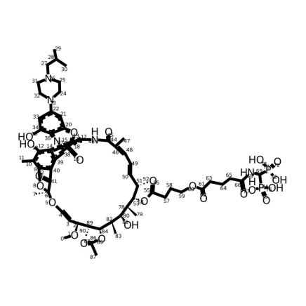 CO[C@H]1/C=C/O[C@@]2(C)Oc3c(C)c(O)c4c(=O)c(c5oc6cc(N7CCN(CC(C)C)CC7)cc(O)c6nc-5c4c3C2=O)NC(=O)/C(C)=C\C=C\[C@H](C)[C@H](OC(=O)CCCOC(=O)CCCC(=O)NC(P(=O)(O)O)P(=O)(O)O)[C@@H](C)[C@@H](O)[C@@H](C)[C@H](OC(C)=O)[C@@H]1C